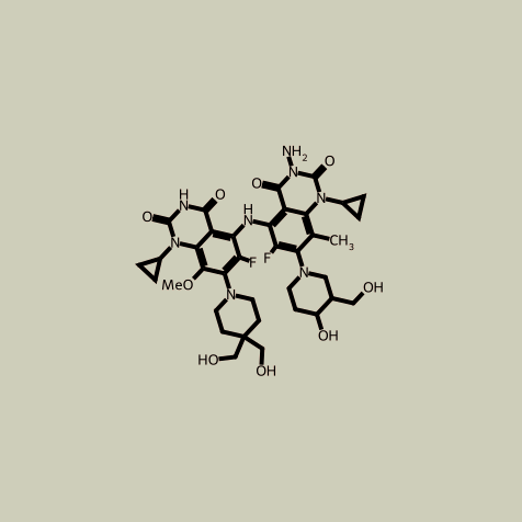 COc1c(N2CCC(CO)(CO)CC2)c(F)c(Nc2c(F)c(N3CCC(O)C(CO)C3)c(C)c3c2c(=O)n(N)c(=O)n3C2CC2)c2c(=O)[nH]c(=O)n(C3CC3)c12